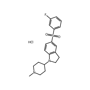 CN1CCC(N2CCc3cc(S(=O)(=O)c4cccc(F)c4)ccc32)CC1.Cl